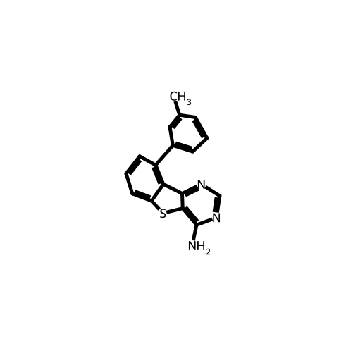 Cc1cccc(-c2cccc3sc4c(N)ncnc4c23)c1